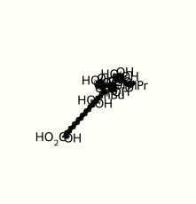 CCCC[C@H](CCC[C@H](O)[C@@H](O)CCCCCCCCCCCCCC[C@@H](O)C(=O)O)O[C@H]1OC[C@H](O)[C@@H](O)[C@@H]1O[C@H]1OC[C@H](O)[C@@H](O)[C@@H]1O[C@H]1O[C@@H](COC(=O)CC(C)C)[C@H](O)[C@@H](O)[C@@H]1O